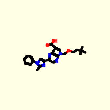 Cc1nc(-c2cnc3c(n2)c(C(=O)O)cn3COCC[Si](C)(C)C)cn1-c1ccccc1